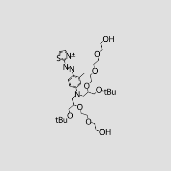 Cc1cc(N(CC(COC(C)(C)C)OCCOCCO)CC(COC(C)(C)C)OCCOCCOCCO)ccc1/N=N/c1scc[n+]1C